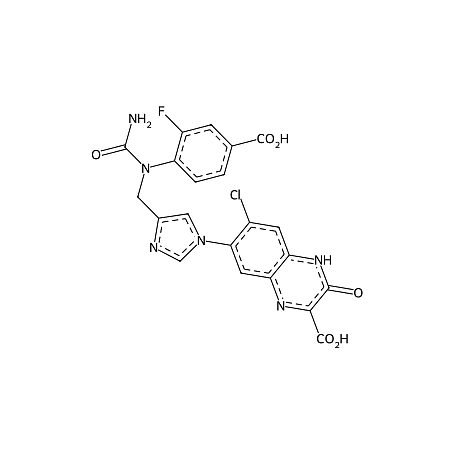 NC(=O)N(Cc1cn(-c2cc3nc(C(=O)O)c(=O)[nH]c3cc2Cl)cn1)c1ccc(C(=O)O)cc1F